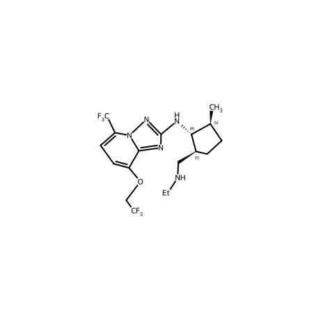 CCNC[C@@H]1CC[C@H](C)[C@H]1Nc1nc2c(OCC(F)(F)F)ccc(C(F)(F)F)n2n1